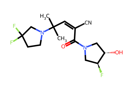 CC(C)(/C=C(/C#N)C(=O)N1C[C@H](O)[C@@H](F)C1)N1CCC(F)(F)C1